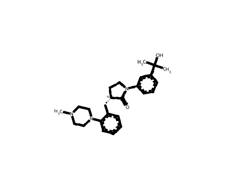 CN1CCN(c2ccccc2C[C@@H]2CCN(c3cccc(C(C)(C)O)c3)C2=O)CC1